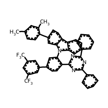 Cc1ccc(-c2ccc3c4ccccc4n(-c4cc(-c5cc(C(F)(F)F)cc(C(F)(F)F)c5)ccc4-c4nc(-c5ccccc5)nc(-c5ccccc5)n4)c3c2)c(C)c1